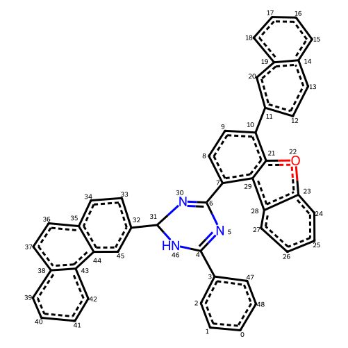 c1ccc(C2=NC(c3ccc(-c4ccc5ccccc5c4)c4oc5ccccc5c34)=NC(c3ccc4ccc5ccccc5c4c3)N2)cc1